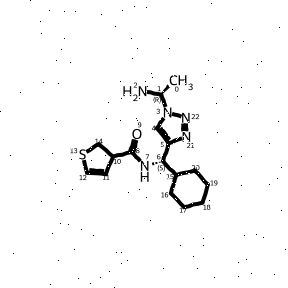 C[C@H](N)n1cc([C@@H](NC(=O)C2C=CSC2)C2CCCCC2)nn1